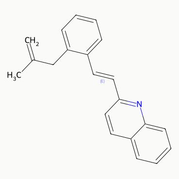 C=C(C)Cc1ccccc1/C=C/c1ccc2ccccc2n1